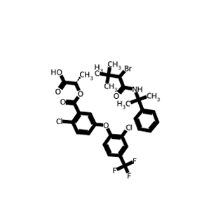 CC(C)(NC(=O)C(Br)C(C)(C)C)c1ccccc1.C[C@H](OC(=O)c1cc(Oc2ccc(C(F)(F)F)cc2Cl)ccc1Cl)C(=O)O